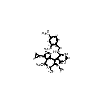 COC(=O)c1c(-c2c(CO)n(C(C)C)c3ncnc(NCc4ccc(OC)cc4OC)c23)noc1C1CC1